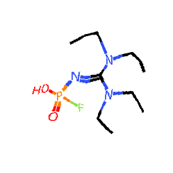 CCN(CC)C(=NP(=O)(O)F)N(CC)CC